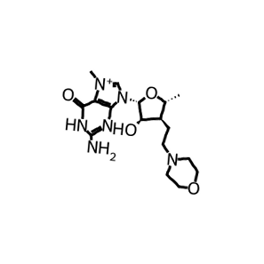 C[C@H]1O[C@@H](n2c[n+](C)c3c(=O)[nH]c(N)nc32)[C@H](O)[C@@H]1CCN1CCOCC1